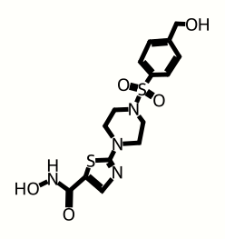 O=C(NO)c1cnc(N2CCN(S(=O)(=O)c3ccc(CO)cc3)CC2)s1